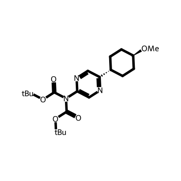 CO[C@H]1CC[C@H](c2cnc(N(C(=O)OC(C)(C)C)C(=O)OC(C)(C)C)cn2)CC1